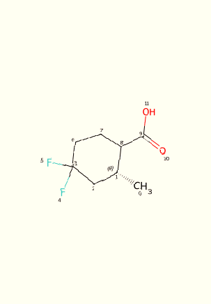 C[C@@H]1CC(F)(F)CCC1C(=O)O